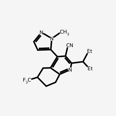 CCC(CC)c1nc2c(c(-c3ccnn3C)c1C#N)CC(C(F)(F)F)CC2